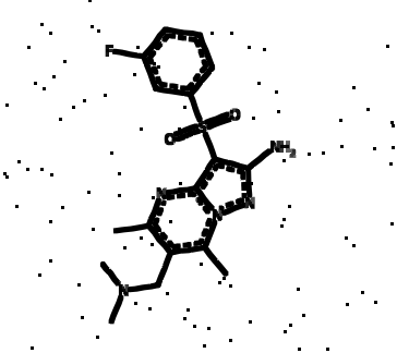 Cc1nc2c(S(=O)(=O)c3cccc(F)c3)c(N)nn2c(C)c1CN(C)C